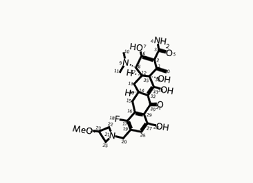 C=C1C(C(N)=O)=C(O)[C@@H](N(C)C)[C@@H]2C[C@@H]3Cc4c(F)c(CN5CC(OC)C5)cc(O)c4C(=O)C3=C(O)[C@]12O